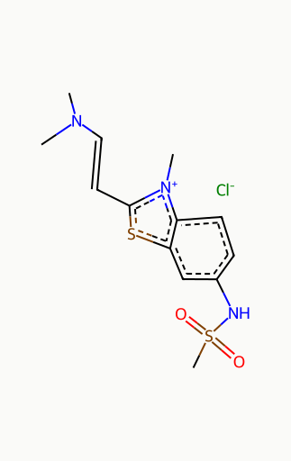 CN(C)/C=C/c1sc2cc(NS(C)(=O)=O)ccc2[n+]1C.[Cl-]